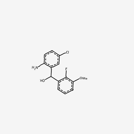 COc1cccc(C(O)c2cc(Cl)ccc2N)c1F